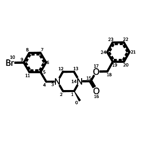 C[C@H]1CN(Cc2cccc(Br)c2)CCN1C(=O)OCc1ccccc1